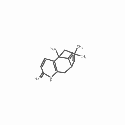 C=C1C=CC2=C(CC3C=C(C)CC2(N)/C3=C/C)N1